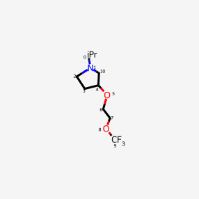 CC(C)N1CCC(OCCOC(F)(F)F)C1